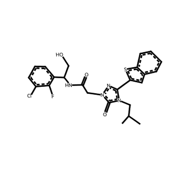 CC(C)Cn1c(-c2cc3ccccc3s2)nn(CC(=O)NC(CO)c2cccc(Cl)c2F)c1=O